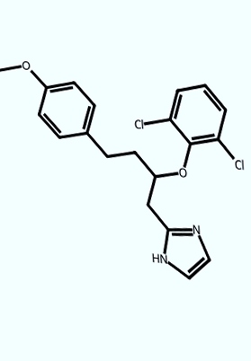 COc1ccc(CCC(Cc2ncc[nH]2)Oc2c(Cl)cccc2Cl)cc1